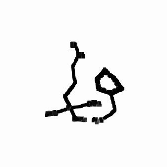 CCNCCC[Si](OC)(OC)OC.NCc1ccccc1